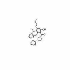 CCCCc1nc(O)c(C(=O)N2CC[C@H](c3ccccc3)C2)c(O)c1N(C)c1ccccc1